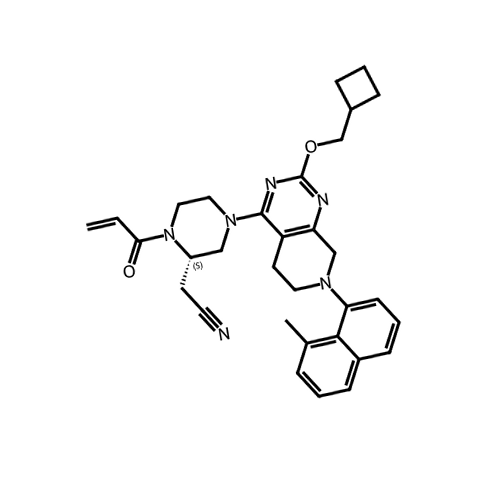 C=CC(=O)N1CCN(c2nc(OCC3CCC3)nc3c2CCN(c2cccc4cccc(C)c24)C3)C[C@@H]1CC#N